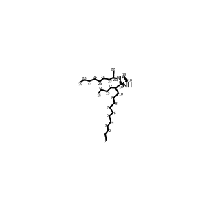 CCCCCCCCCCCC(CCCC)c1[nH]cc[n+]1C(C)CCCCCCC